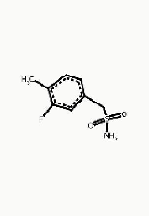 Cc1ccc(CS(N)(=O)=O)cc1F